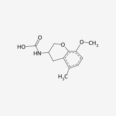 COc1ccc(C)c2c1OCC(NC(=O)O)C2